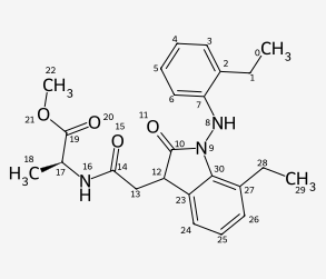 CCc1ccccc1NN1C(=O)C(CC(=O)N[C@@H](C)C(=O)OC)c2cccc(CC)c21